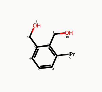 CC(C)c1cccc(CO)c1CO